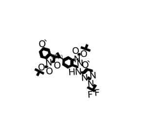 COc1ccc2c(c1)[C@]1(C[C@H]1c1ccc3c(Nc4nc(N5CC(F)(F)C5)ncc4OC)nn(C(=O)OC(C)(C)C)c3c1)C(=O)N2C(=O)OC(C)(C)C